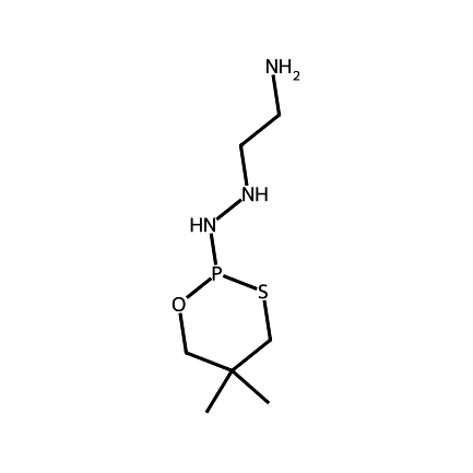 CC1(C)COP(NNCCN)SC1